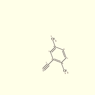 [C]#Cc1cc(C(F)(F)F)ccc1C(F)(F)F